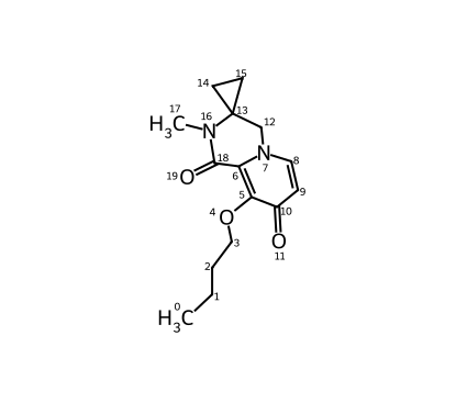 CCCCOc1c2n(ccc1=O)CC1(CC1)N(C)C2=O